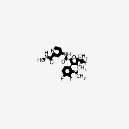 COc1c([C@H]2[C@H](C(=O)Nc3ccnc(C(=O)NO)c3)O[C@@](C)(C(F)(F)F)[C@H]2C)ccc(F)c1F